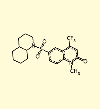 Cn1c(=O)cc(C(F)(F)F)c2cc(S(=O)(=O)N3CCCC4CCCCC43)ccc21